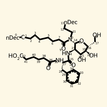 CCCCCCCCCCCCCCCCCC(=O)N(CCCCCCCCCCCC)[C@@H]1O[C@H](CO)[C@@H](O)[C@H](O)[C@H]1NC(=O)[C@H](Cc1ccccc1)NC(=O)CCCCC(=O)O